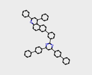 c1ccc(-c2ccc(-c3cc(-c4ccc(-c5ccccc5)cc4)nc(-c4cccc(-c5ccc6c(ccc7nc(-c8ccccc8)cc(-c8ccccc8)c76)c5)c4)n3)cc2)cc1